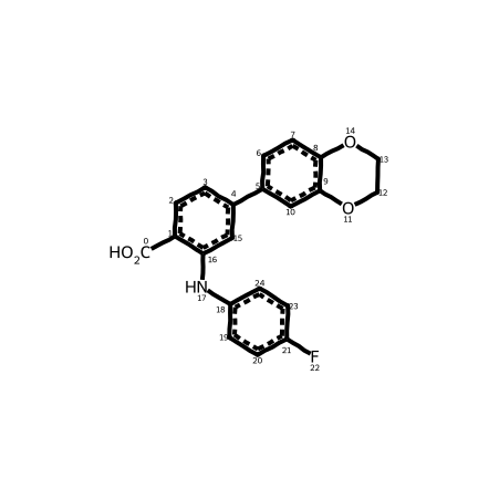 O=C(O)c1ccc(-c2ccc3c(c2)OCCO3)cc1Nc1ccc(F)cc1